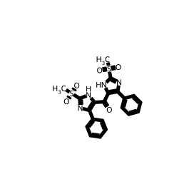 CS(=O)(=O)c1nc(-c2ccccc2)c(C(=O)c2[nH]c(S(C)(=O)=O)nc2-c2ccccc2)[nH]1